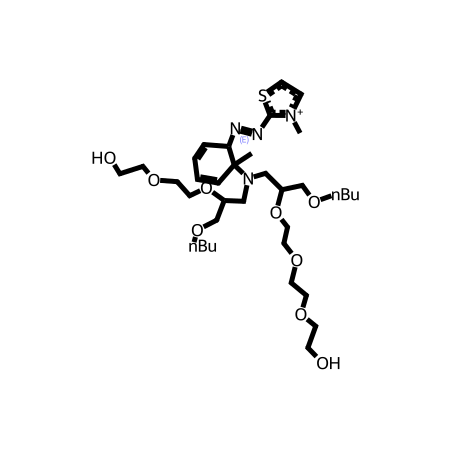 CCCCOCC(CN(CC(COCCCC)OCCOCCOCCO)C1(C)C=CC=CC1/N=N/c1scc[n+]1C)OCCOCCO